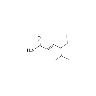 CCC(C=CC(N)=O)C(C)C